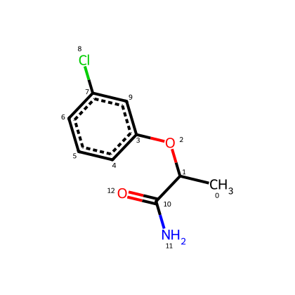 CC(Oc1cccc(Cl)c1)C(N)=O